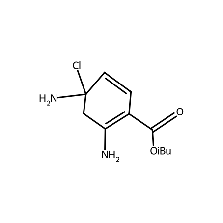 CC(C)COC(=O)C1=C(N)CC(N)(Cl)C=C1